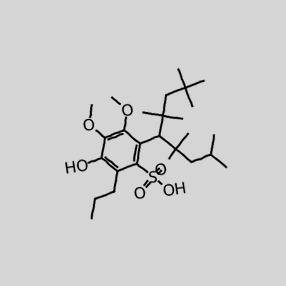 CCCc1c(O)c(OC)c(OC)c(C(C(C)(C)CC(C)C)C(C)(C)CC(C)(C)C)c1S(=O)(=O)O